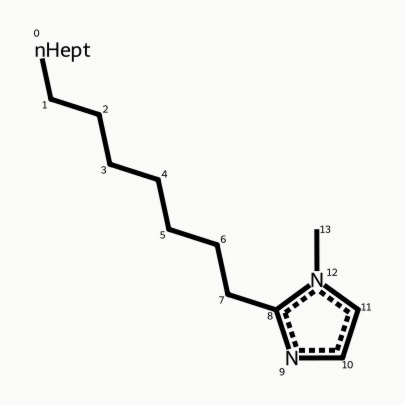 CCCCCCCCCCCCCCc1nccn1C